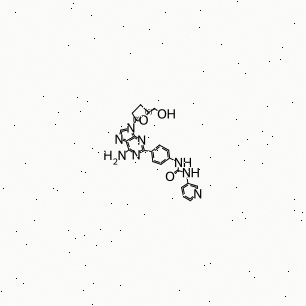 Nc1nc(-c2ccc(NC(=O)Nc3cccnc3)cc2)nc2c1ncn2[C@H]1CC[C@@H](CO)O1